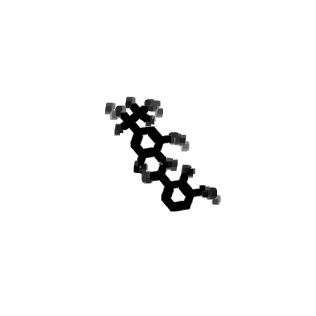 CCc1cc(C(F)(C(F)(F)F)C(F)(F)C(F)(F)F)cc(C)c1NC(=O)c1cccc([N+](=O)[O-])c1Br